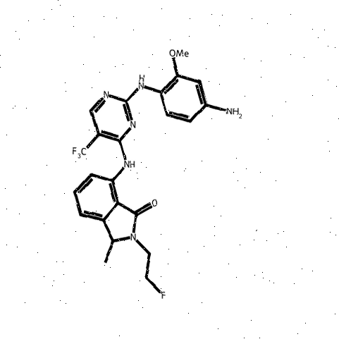 COc1cc(N)ccc1Nc1ncc(C(F)(F)F)c(Nc2cccc3c2C(=O)N(CCF)C3C)n1